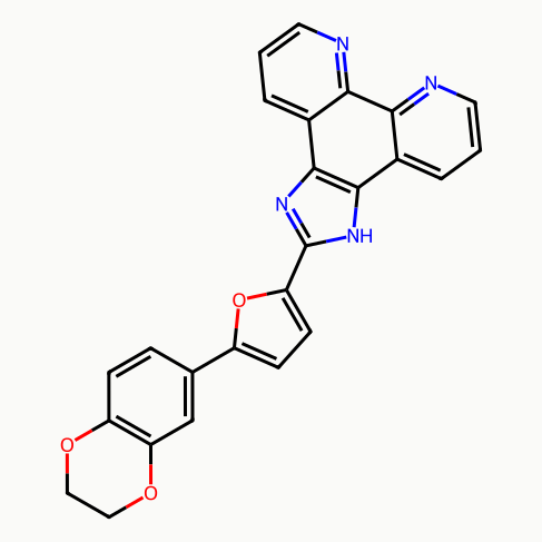 c1cnc2c(c1)c1nc(-c3ccc(-c4ccc5c(c4)OCCO5)o3)[nH]c1c1cccnc12